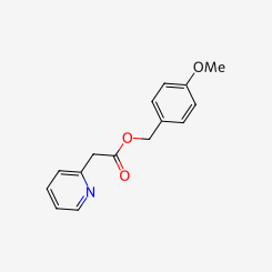 COc1ccc(COC(=O)Cc2ccccn2)cc1